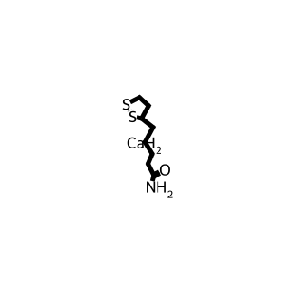 NC(=O)CCCCC1CCSS1.[CaH2]